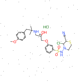 COc1ccc(CC(C)(C)NC[C@@H](O)COc2cccc(S(=O)(=O)NN3CCSC(C#N)C3Cl)c2)cc1.Cl